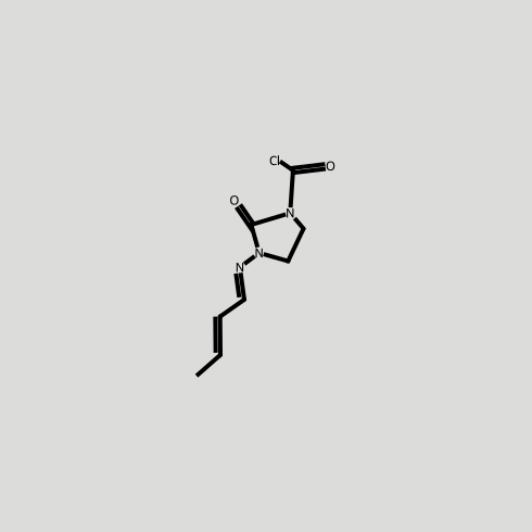 CC=CC=NN1CCN(C(=O)Cl)C1=O